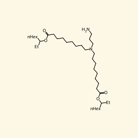 CCCCCCC(CC)OC(=O)CCCCCCCCN(CCCN)CCCCCCCCC(=O)OC(CC)CCCCCC